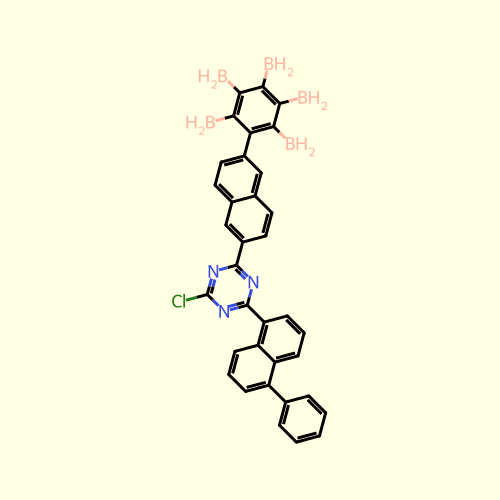 Bc1c(B)c(B)c(-c2ccc3cc(-c4nc(Cl)nc(-c5cccc6c(-c7ccccc7)cccc56)n4)ccc3c2)c(B)c1B